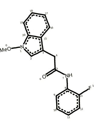 COn1cc(CC(=O)Nc2ccccc2F)c2ccccc21